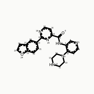 O=C(Nc1cnccc1N1CCNCC1)c1ccnc(-c2ccc3occc3c2)n1